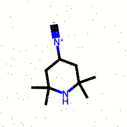 [C]#[N+]C1CC(C)(C)NC(C)(C)C1